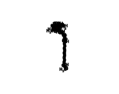 CC(=O)c1ccc(C(=O)NCCOCCOCCOCCOCCOCCOCCOCCOCCOCCNC(=O)c2cccc(OCc3cn(Cc4cccc(C(=O)NCCCC[C@H](NC(=O)[C@H](CC(C)C)NC(=O)[C@H](CC(C)C)NC(=O)[C@H](Cc5ccccc5)NC(=O)[C@H](CCC(=O)O)NC(=O)[C@H](CC(N)=O)NC(=O)[C@H](CC(=O)O)NC(=O)[C@@H](N)CCC(=O)O)C(N)=O)c4)nn3)c2)cc1